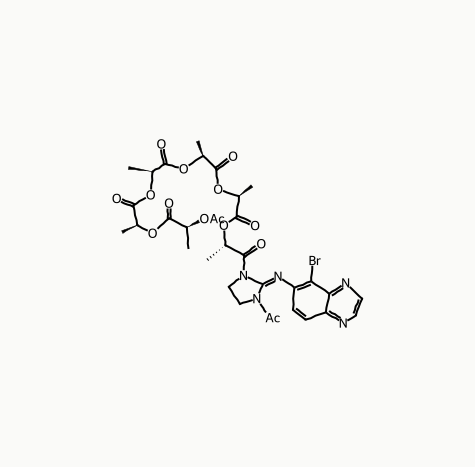 CC(=O)O[C@@H](C)C(=O)O[C@@H](C)C(=O)O[C@@H](C)C(=O)O[C@@H](C)C(=O)O[C@@H](C)C(=O)O[C@@H](C)C(=O)N1CCN(C(C)=O)/C1=N\c1ccc2nccnc2c1Br